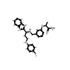 CC(Oc1cccc(CNC(CCOc2ccc(F)cc2)c2nc3ccccc3s2)c1)C(=O)O